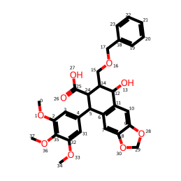 COc1cc(C2c3cc4c(cc3C(O)C(COCc3ccccc3)C2C(=O)O)OCO4)cc(OC)c1OC